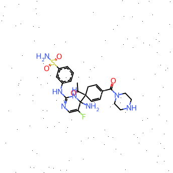 CC(=O)C1(C2(N)NC(Nc3cccc(S(N)(=O)=O)c3)=NC=C2F)C=CC(C(=O)N2CCNCC2)=CC1